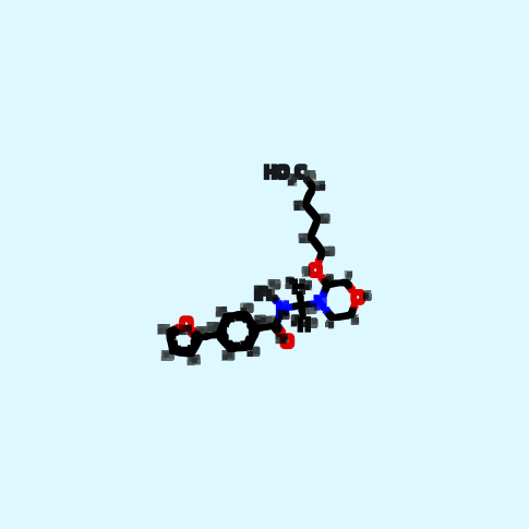 [2H]C([2H])(N1CCOCC1OCCCCCC(=O)O)N(C(=O)c1ccc(-c2ccco2)cc1)C(C)C